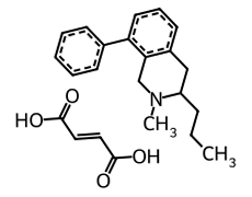 CCCC1Cc2cccc(-c3ccccc3)c2CN1C.O=C(O)C=CC(=O)O